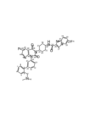 CN(C)Cc1ccccc1-c1cccc(-n2c(=O)n(C3CCC(NC(=O)c4cn5cc(F)ccc5n4)CC3)c(=O)c3cc(F)cnc32)c1